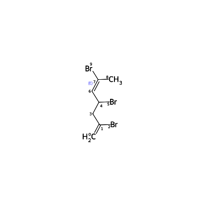 C=C(Br)CC(Br)/C=C(\C)Br